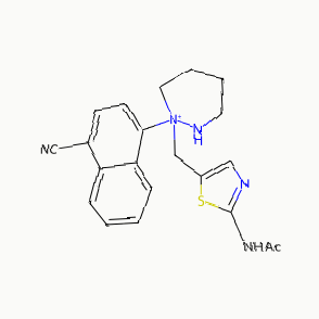 CC(=O)Nc1ncc(C[N+]2(c3ccc(C#N)c4ccccc34)CCCCN2)s1